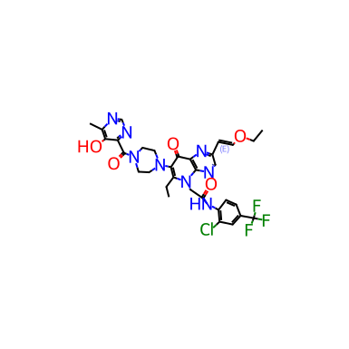 CCO/C=C/c1cnc2c(n1)c(=O)c(N1CCN(C(=O)c3ncnc(C)c3O)CC1)c(CC)n2CC(=O)Nc1ccc(C(F)(F)F)cc1Cl